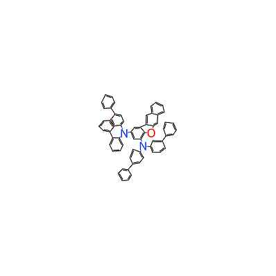 c1ccc(-c2ccc(N(c3cc(N(c4ccc(-c5ccccc5)cc4)c4cccc(-c5ccccc5)c4)c4oc5cc6ccccc6cc5c4c3)c3ccccc3-c3ccccc3)cc2)cc1